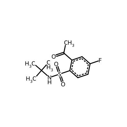 CC(=O)c1cc(F)ccc1S(=O)(=O)NC(C)(C)C